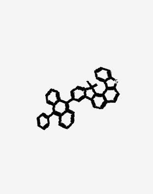 CC1(C)c2ccc(-c3c4ccccc4c(-c4ccccc4)c4ccccc34)cc2-c2ccc3ccc4sc5ccccc5c4c3c21